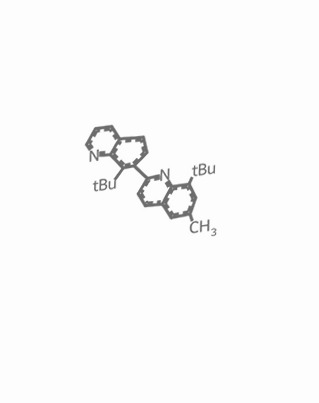 Cc1cc(C(C)(C)C)c2nc(-c3ccc4cccnc4c3C(C)(C)C)ccc2c1